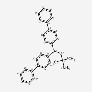 CC(C)(C)OB(c1ccc(-c2ccccc2)cc1)c1ccc(-c2ccccc2)cc1